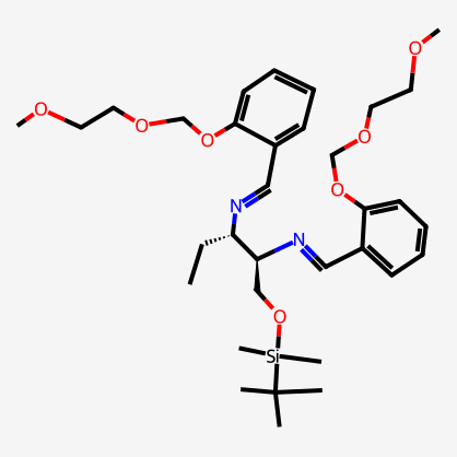 CC[C@H](/N=C/c1ccccc1OCOCCOC)[C@H](CO[Si](C)(C)C(C)(C)C)/N=C/c1ccccc1OCOCCOC